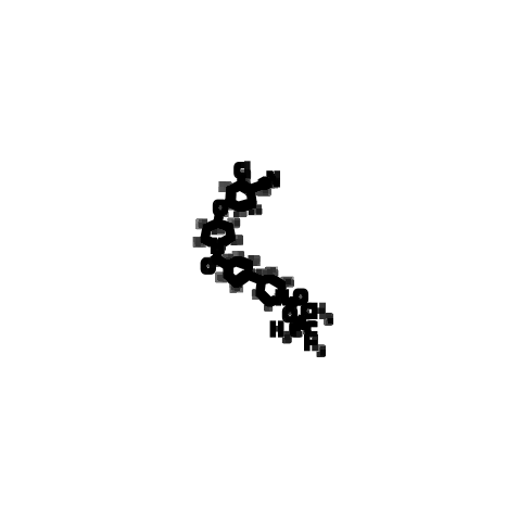 CC(C)(C)OC(=O)N1CCC(c2ccc(C(=O)N3CCC(Oc4ccc(C#N)c(Cl)c4)CC3)cc2)CC1